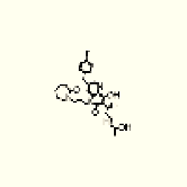 CC(O)CCNC(=O)c1c(O)c2ncc(Cc3ccc(F)cc3)cc2n(CCCN2CCCCCC2=O)c1=O